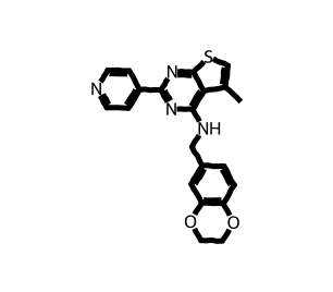 Cc1csc2nc(-c3ccncc3)nc(NCc3ccc4c(c3)OCCO4)c12